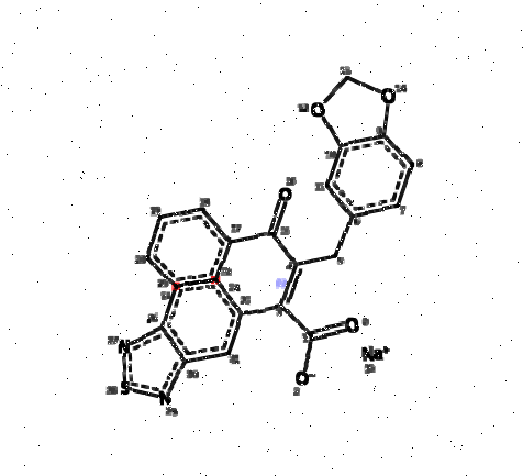 O=C([O-])/C(=C(\Cc1ccc2c(c1)OCO2)C(=O)c1ccccc1)c1ccc2nsnc2c1.[Na+]